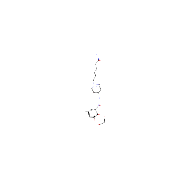 Cc1cc2c(c(C(=O)NC[C@@H]3CCN(CCCCCC(N)=O)C[C@H]3O)c1)OCCCO2